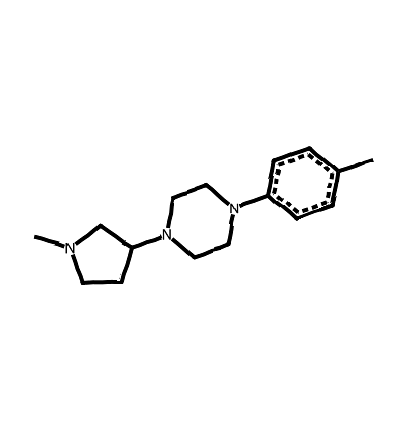 Cc1ccc(N2CCN(C3CCN(C)C3)CC2)cc1